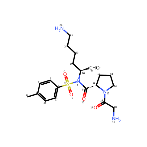 Cc1ccc(S(=O)(=O)N(C(=O)[C@@H]2CCCN2C(=O)CN)[C@H]([C]=O)CCCCN)cc1